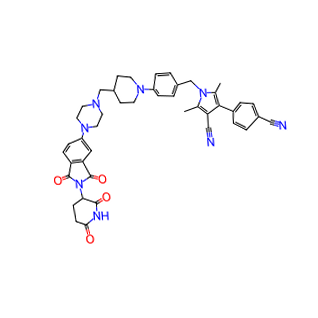 Cc1c(C#N)c(-c2ccc(C#N)cc2)c(C)n1Cc1ccc(N2CCC(CN3CCN(c4ccc5c(c4)C(=O)N(C4CCC(=O)NC4=O)C5=O)CC3)CC2)cc1